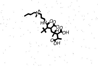 CCCC[N+](C)(C)CCCNC(=O)C(C(CC(C)(C)C(C(=O)O)C(C)C(=O)O)C(=O)O)C(C)(C)C